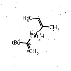 C=C(C(=O)O)C(C)(C)C.CC=C(C)C